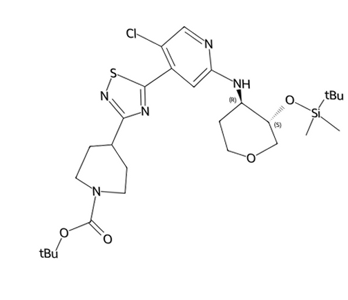 CC(C)(C)OC(=O)N1CCC(c2nsc(-c3cc(N[C@@H]4CCOC[C@H]4O[Si](C)(C)C(C)(C)C)ncc3Cl)n2)CC1